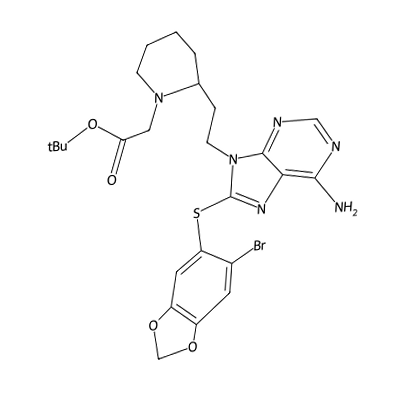 CC(C)(C)OC(=O)CN1CCCCC1CCn1c(Sc2cc3c(cc2Br)OCO3)nc2c(N)ncnc21